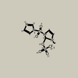 CN1C=CN(S(=O)(=O)n2ccnc2)C1OS(=O)(=O)C(F)(F)F